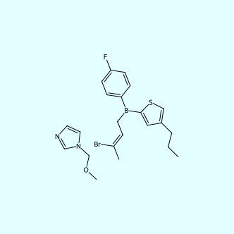 CCCc1csc(B(CC=C(C)Br)c2ccc(F)cc2)c1.COCn1ccnc1